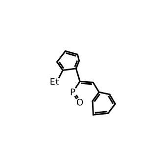 CCc1ccccc1/C(=C/c1ccccc1)P=O